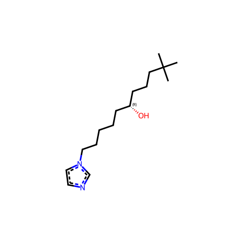 CC(C)(C)CCC[C@H](O)CCCCCn1ccnc1